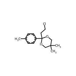 Cc1ccc(C2(CCCl)OCC(C)(C)CO2)cc1